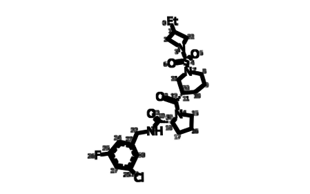 CCC1CN(S(=O)(=O)N2CCC[C@H](C(=O)N3CCC[C@@H]3C(=O)NCc3cc(F)cc(Cl)c3)C2)C1